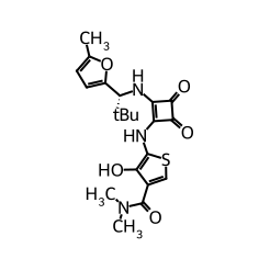 Cc1ccc([C@H](Nc2c(Nc3scc(C(=O)N(C)C)c3O)c(=O)c2=O)C(C)(C)C)o1